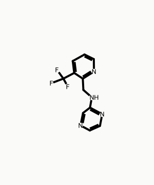 FC(F)(F)c1cccnc1CNc1cnccn1